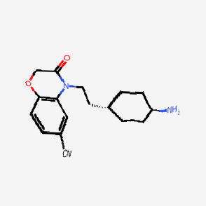 N#Cc1ccc2c(c1)N(CC[C@H]1CC[C@H](N)CC1)C(=O)CO2